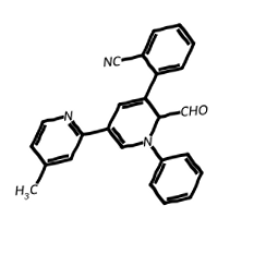 Cc1ccnc(C2=CN(c3ccccc3)C(C=O)C(c3ccccc3C#N)=C2)c1